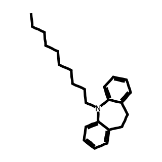 CCCCCCCCCCN1c2ccccc2CCc2ccccc21